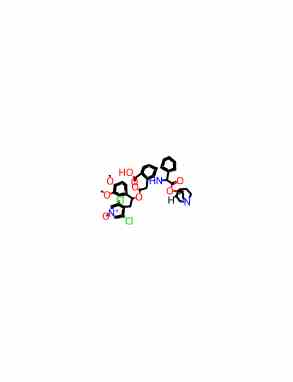 COc1ccc(C(Cc2c(Cl)c[n+]([O-])cc2Cl)OC(=O)Cc2c(NC(C(=O)O[C@H]3CN4CCC3CC4)c3ccccc3)cccc2C(=O)O)cc1OC